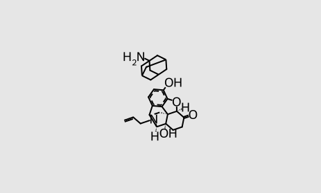 C=CCN1CC[C@]23c4c5ccc(O)c4O[C@H]2C(=O)CC[C@@]3(O)[C@H]1C5.NC12CC3CC(CC(C3)C1)C2